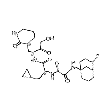 O=C(N[C@@H](CC1CC1)C(=O)N[C@@H](C[C@@H]1CCCNC1=O)C(=O)CO)C(=O)NC12CCCC(C1)C(F)CC2